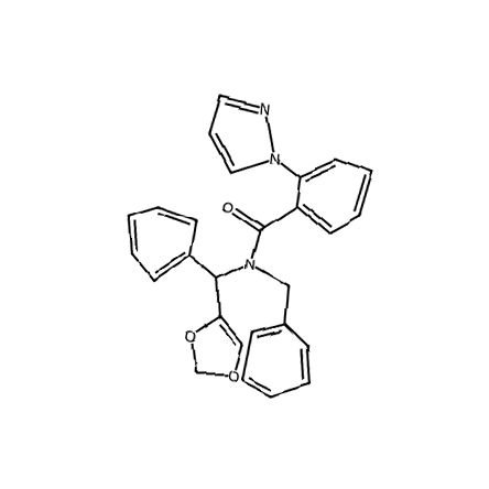 O=C(c1ccccc1-n1cccn1)N(Cc1ccccc1)C(C1=COCO1)c1ccccc1